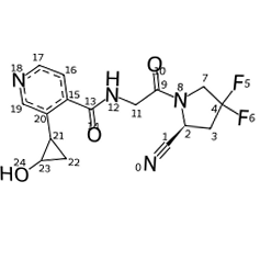 N#C[C@@H]1CC(F)(F)CN1C(=O)CNC(=O)c1ccncc1C1CC1O